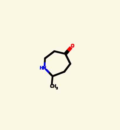 CC1CCC(=O)CCN1